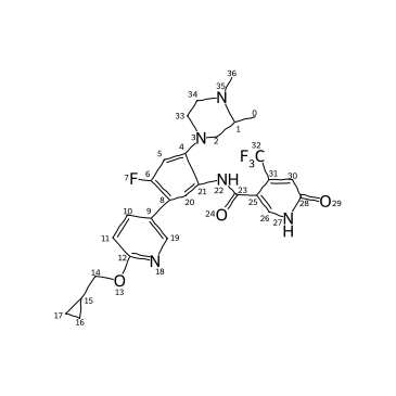 CC1CN(c2cc(F)c(-c3ccc(OCC4CC4)nc3)cc2NC(=O)c2c[nH]c(=O)cc2C(F)(F)F)CCN1C